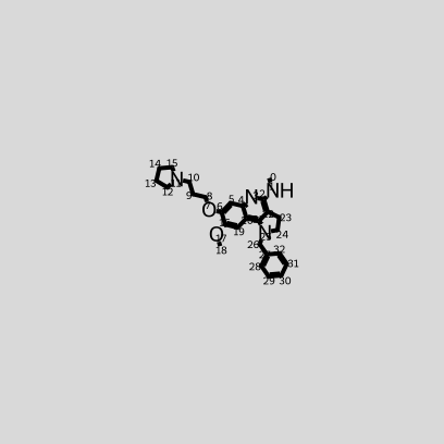 CNc1nc2cc(OCCCN3CCCC3)c(OC)cc2c2c1CCN2Cc1ccccc1